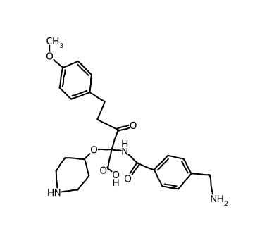 COc1ccc(CCC(=O)C(NC(=O)c2ccc(CN)cc2)(OC2CCNCC2)C(=O)O)cc1